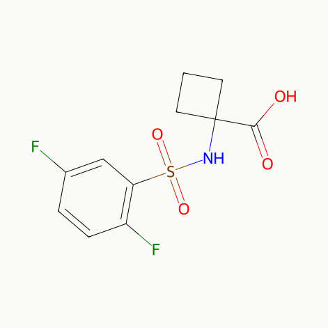 O=C(O)C1(NS(=O)(=O)c2cc(F)ccc2F)CCC1